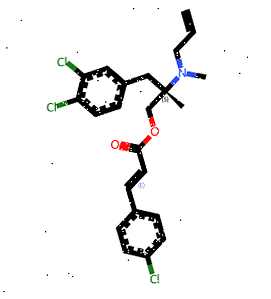 C=CCN(C)[C@](C)(COC(=O)/C=C/c1ccc(Cl)cc1)Cc1ccc(Cl)c(Cl)c1